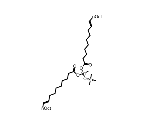 CCCCCCCCC=CCCCCCCCC(=O)[O][Sn]([CH3])([O]C(=O)CCCCCCCC=CCCCCCCCC)[O][Sn]([CH3])([CH3])[CH3]